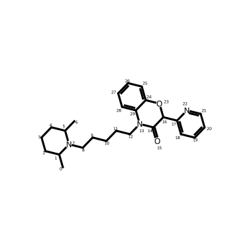 CC1CCCC(C)N1CCCCCN1C(=O)C(c2ccccn2)Oc2ccccc21